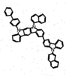 c1ccc(-c2ccc(-n3c4ccccc4c4cc5c6cc(-c7ccc8c(c7)c7ccccc7n8-c7ccc8ccccc8c7)ccc6n(-c6cccc7ccccc67)c5cc43)cc2)cc1